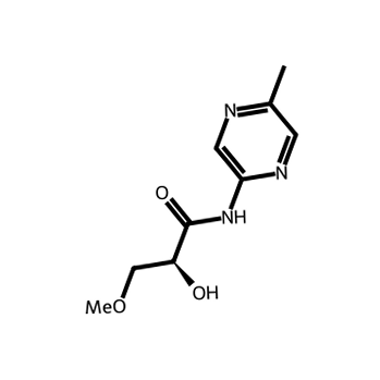 COC[C@H](O)C(=O)Nc1cnc(C)cn1